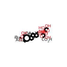 CCC(C)C(=O)O[C@H]1[C@H](OC(C)=O)C(C)(C)CCC2=CCC3[C@@]4(C)CCC(OC5OC(C(=O)O)C(O)C(OC6OCC(O)C(O)C6O)C5O)[C@@](C)(CO)C4CC[C@@]3(C)[C@]2(C)[C@@H](OC(C)=O)[C@@H](OC(C)=O)[C@@]1(C)CO